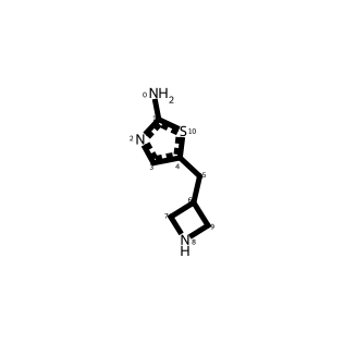 Nc1ncc(CC2CNC2)s1